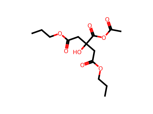 CCCOC(=O)CC(O)(CC(=O)OCCC)C(=O)OC(C)=O